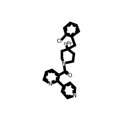 CCCC1(Cc2ccccc2Cl)CCN(C(=O)c2cccnc2-c2ccncc2)CC1